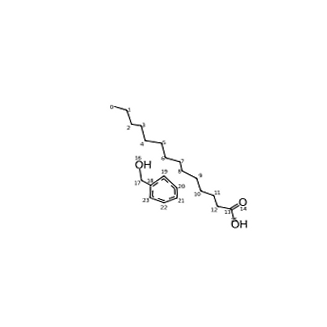 CCCCCCCCCCCCCC(=O)O.OCc1ccccc1